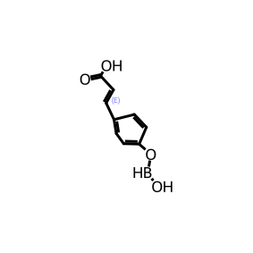 O=C(O)/C=C/c1ccc(OBO)cc1